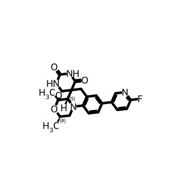 C[C@@H]1CN2c3ccc(-c4ccc(F)nc4)cc3CC3(C(=O)NC(=O)NC3=O)[C@H]2[C@H](C)O1